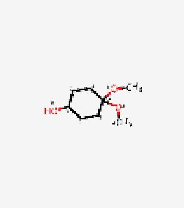 COC1(OC)CCC(O)CC1